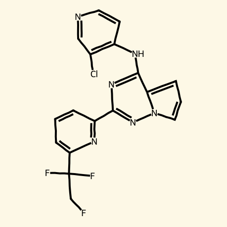 FCC(F)(F)c1cccc(-c2nc(Nc3ccncc3Cl)c3cccn3n2)n1